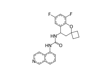 O=C(Nc1cccc2cnccc12)NC1CC2(CCC2)Oc2c(F)cc(F)cc21